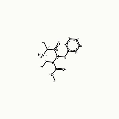 CCC(C(=O)OC)N(Cc1ccccc1)C(=O)C(C)N